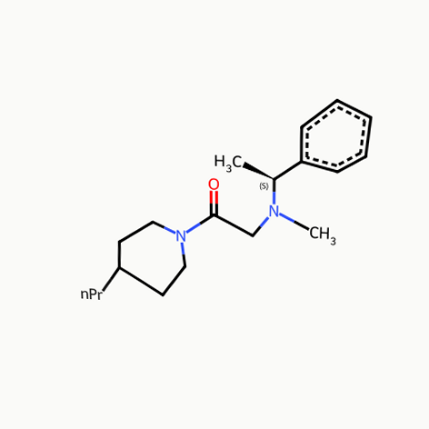 CCCC1CCN(C(=O)CN(C)[C@@H](C)c2ccccc2)CC1